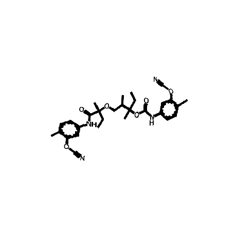 CCC(C)(OCC(C)C(C)(CC)OC(=O)Nc1ccc(C)c(OC#N)c1)C(=O)Nc1ccc(C)c(OC#N)c1